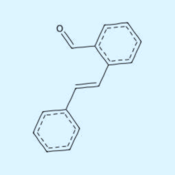 O=Cc1ccccc1C=Cc1ccccc1